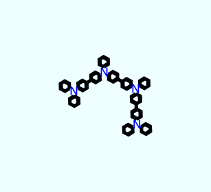 C1=CCC(N(C2=CCCC=C2)c2ccc(-c3ccc(N(c4ccccc4)c4ccc(-c5ccc(N(c6ccccc6)c6ccc(-c7ccc(N(C8=CCCC=C8)C8C=CC=CC8)cc7)cc6)cc5)cc4)cc3)cc2)C=C1